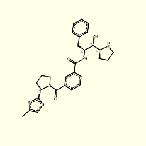 Cc1csc([C@H]2CCCN2C(=O)c2cccc(C(=O)N[C@@H](Cc3ccccc3)[C@@H](O)[C@@H]3CCCN3)c2)n1